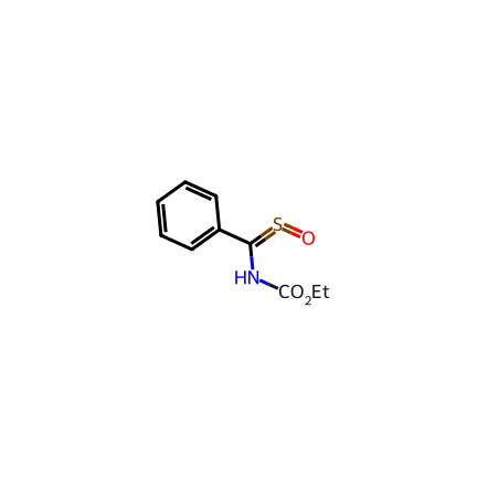 CCOC(=O)NC(=S=O)c1ccccc1